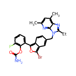 CCc1nc2c(C)cc(C)nc2n1Cc1ccc2c(-c3cccc(F)c3OC(N)=O)oc(Br)c2c1